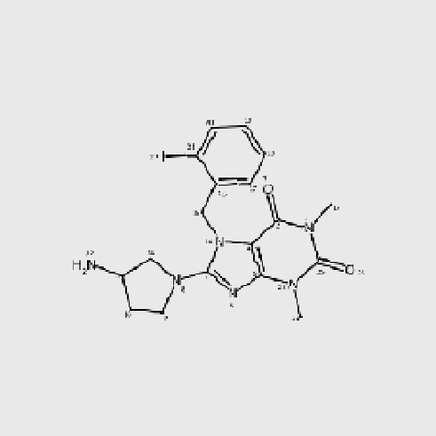 Cn1c(=O)c2c(nc(N3CCC(N)C3)n2Cc2ccccc2I)n(C)c1=O